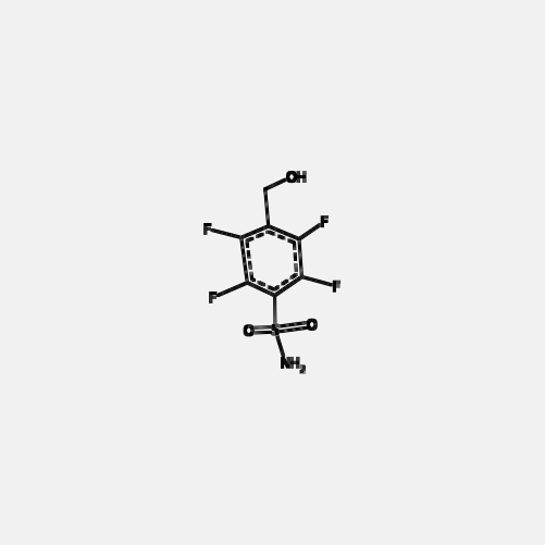 NS(=O)(=O)c1c(F)c(F)c(CO)c(F)c1F